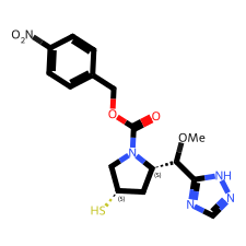 COC(c1ncn[nH]1)[C@@H]1C[C@H](S)CN1C(=O)OCc1ccc([N+](=O)[O-])cc1